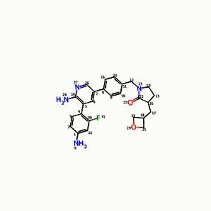 Nc1ccc(-c2cc(-c3ccc(CN4CCC(CC5COC5)C4=O)cc3)cnc2N)c(F)c1